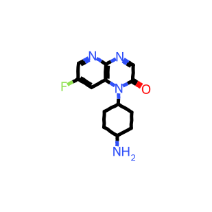 NC1CCC(n2c(=O)cnc3ncc(F)cc32)CC1